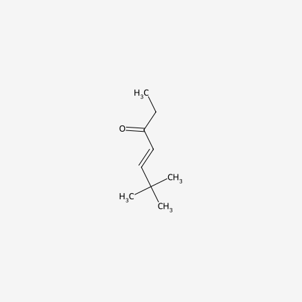 CCC(=O)/C=C/C(C)(C)C